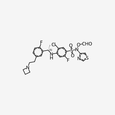 C[C@H](Nc1cc(F)c(S(=O)(=O)N(OC=O)c2cscn2)cc1Cl)c1cc(CCN2CCC2)ccc1F